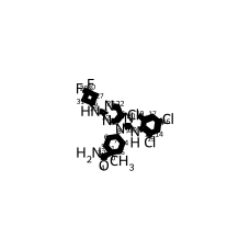 C[C@]1(C(N)=O)CC[C@H](n2c(Nc3c(Cl)cc(Cl)cc3Cl)nc3cnc(NC4CC(F)(F)C4)nc32)CC1